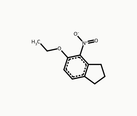 CCOc1ccc2c(c1[N+](=O)[O-])CCC2